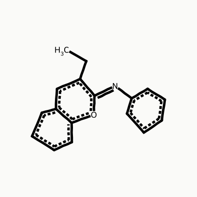 CCc1cc2ccccc2o/c1=N\c1ccccc1